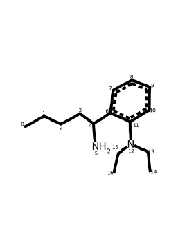 CCCCC(N)c1ccccc1N(CC)CC